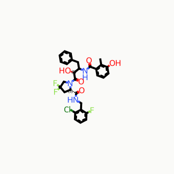 Cc1c(O)cccc1C(=O)NC(Cc1ccccc1)[C@H](O)C(=O)N1CC(F)(F)C[C@H]1C(=O)NCc1c(F)cccc1Cl